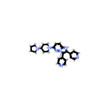 c1cc(-c2nc3ccc(N4CCC(N5CCCC5)CC4)nn3c2-c2ccncc2)ccn1